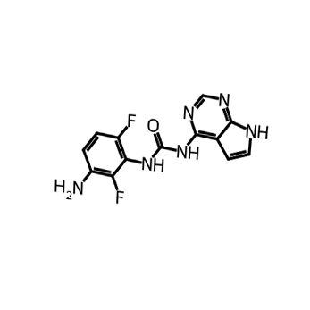 Nc1ccc(F)c(NC(=O)Nc2ncnc3[nH]ccc23)c1F